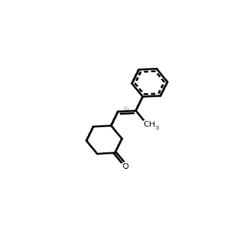 C/C(=C\C1CCCC(=O)C1)c1ccccc1